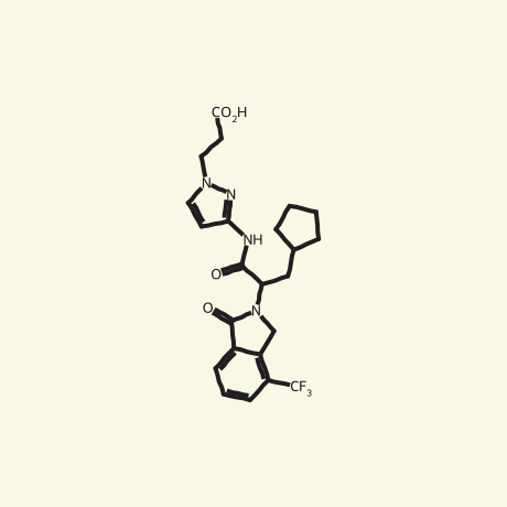 O=C(O)CCn1ccc(NC(=O)C(CC2CCCC2)N2Cc3c(cccc3C(F)(F)F)C2=O)n1